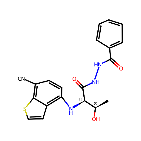 [C-]#[N+]c1ccc(N[C@@H](C(=O)NNC(=O)c2ccccc2)[C@@H](C)O)c2ccsc12